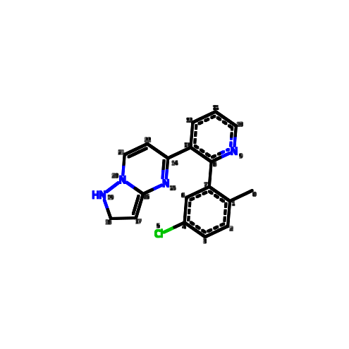 Cc1ccc(Cl)cc1-c1ncccc1C1=NC2=CCNN2C=C1